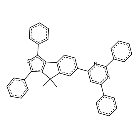 CC1(C)c2cc(-c3cc(-c4ccccc4)nc(-c4ccccc4)n3)ccc2-c2c(-c3ccccc3)sc(-c3ccccc3)c21